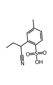 CCC(C#N)c1cc(C)ccc1S(=O)(=O)O